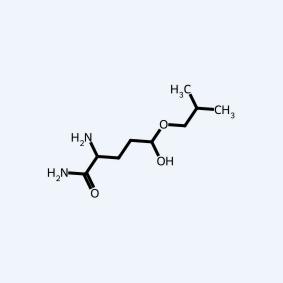 CC(C)COC(O)CCC(N)C(N)=O